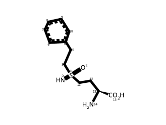 N=S(=O)(CCc1ccccc1)CC[C@H](N)C(=O)O